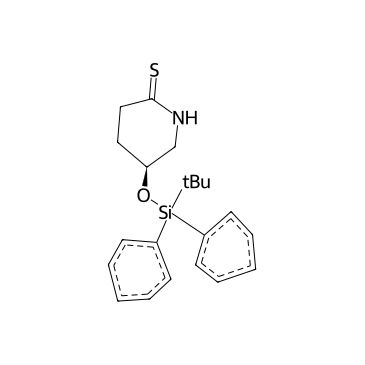 CC(C)(C)[Si](O[C@H]1CCC(=S)NC1)(c1ccccc1)c1ccccc1